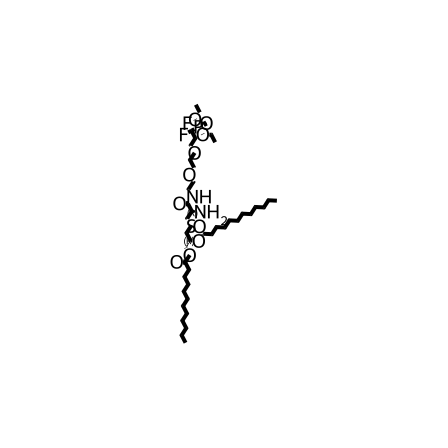 CCCCCCCCCCCC(=O)OC[C@H](CSC[C@H](N)C(=O)NCCOCCOCCC(F)(F)P(=O)(OCC)OCC)OC(=O)CCCCCCCCCCC